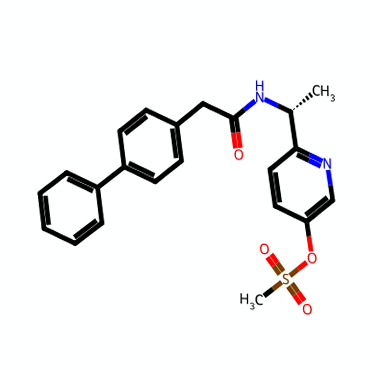 C[C@@H](NC(=O)Cc1ccc(-c2ccccc2)cc1)c1ccc(OS(C)(=O)=O)cn1